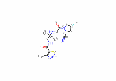 Cc1nnsc1C(=O)NCC(C)(C)NCC(=O)N1C[C@@H](F)C[C@H]1C#N